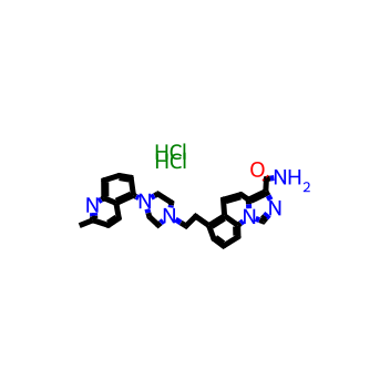 Cc1ccc2c(N3CCN(CCc4cccc5c4ccc4c(C(N)=O)ncn45)CC3)cccc2n1.Cl.Cl